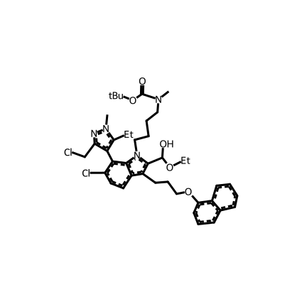 CCOC(O)c1c(CCCOc2cccc3ccccc23)c2ccc(Cl)c(-c3c(CCl)nn(C)c3CC)c2n1CCCCN(C)C(=O)OC(C)(C)C